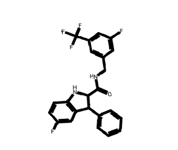 O=C(NCc1cc(F)cc(C(F)(F)F)c1)C1Nc2ccc(F)cc2C1c1ccccc1